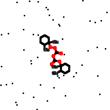 CC(C)(C)C1CCCCC1(OOC(=O)OC(=O)OC1(C(C)(C)C)CCCCC1C(C)(C)C)C(C)(C)C